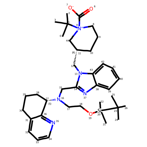 CC(C)(C)[N+]1(C(=O)[O-])CCC[C@H](Cn2c(CN(CCO[Si](C)(C)C(C)(C)C)[C@H]3CCCc4cccnc43)nc3ccccc32)C1